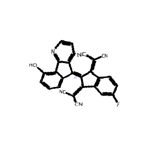 N#CC(C#N)=C1/C(=C2\c3cccnc3-c3c(O)cccc32)C(=C(C#N)C#N)c2cc(F)ccc21